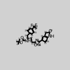 CC(C)(C)OC(=O)N[C@H](CCc1nc(-c2ccc3c(c2)CC(=O)N3)no1)Cc1ccc(C(F)(F)F)cc1